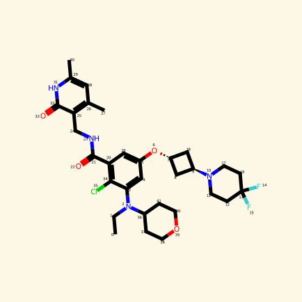 CCN(c1cc(O[C@H]2C[C@H](N3CCC(F)(F)CC3)C2)cc(C(=O)NCc2c(C)cc(C)[nH]c2=O)c1Cl)C1CCOCC1